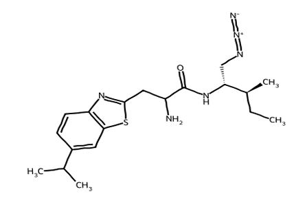 CC[C@H](C)[C@@H](CN=[N+]=[N-])NC(=O)C(N)Cc1nc2ccc(C(C)C)cc2s1